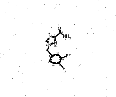 NC(=O)c1ncn(Cc2ccc(F)c(F)c2)n1